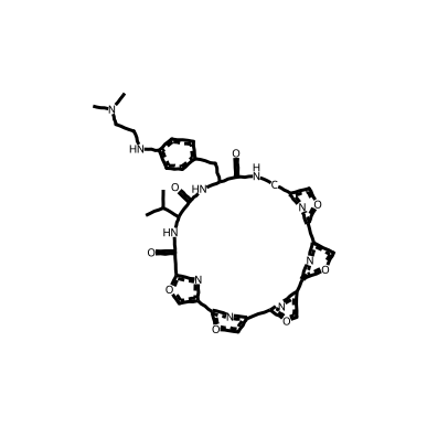 CC(C)C1NC(=O)c2nc(co2)-c2nc(co2)-c2nc(co2)-c2nc(co2)-c2nc(co2)CNC(=O)C(Cc2ccc(NCCN(C)C)cc2)NC1=O